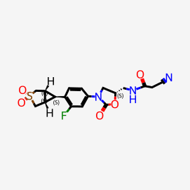 N#CCC(=O)NC[C@H]1CN(c2ccc([C@H]3[C@@H]4CS(=O)(=O)C[C@@H]43)c(F)c2)C(=O)O1